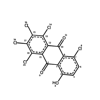 O=C1c2c(O)ccc(Cl)c2C(=O)c2c(Cl)c(Cl)c(Cl)c(Cl)c21